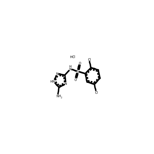 Cl.Nc1nc(NS(=O)(=O)c2cc(Cl)ccc2Cl)n[nH]1